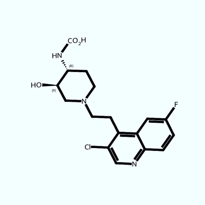 O=C(O)N[C@@H]1CCN(CCc2c(Cl)cnc3ccc(F)cc23)C[C@H]1O